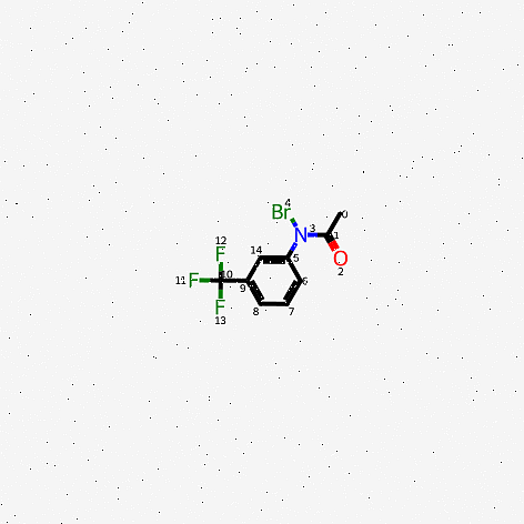 CC(=O)N(Br)c1cccc(C(F)(F)F)c1